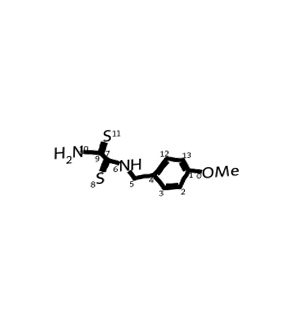 COc1ccc(CNC(=S)C(N)=S)cc1